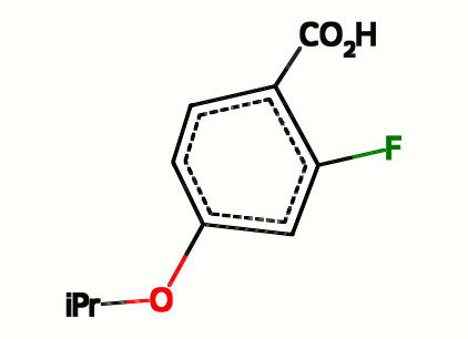 CC(C)Oc1ccc(C(=O)O)c(F)c1